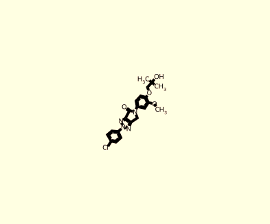 COc1cc(N2Cc3nn(-c4ccc(Cl)cc4)nc3C2=O)ccc1OCC(C)(C)O